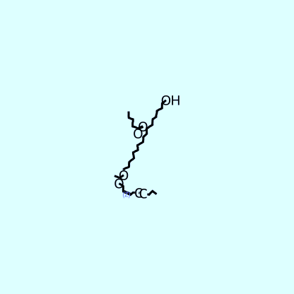 CCCCCC/C=C\COC(C)OCCCCCCCCC(CCCCCCCCO)OC(=O)CCCC